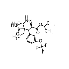 CCC1(C(=O)O)C(C)NN=C(C(=O)OC(C)C)C1c1cccc(OC(F)(F)F)c1